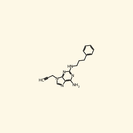 C#CCn1cnc2c(N)nc(NCCCc3ccccc3)nc21